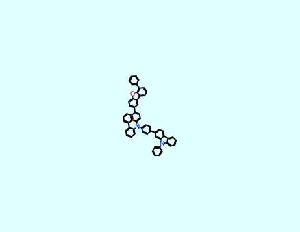 c1ccc(-c2ccccc2N(c2ccc(-c3ccc4oc5c(-c6ccccc6)cccc5c4c3)cc2)c2ccc(-c3ccc4c5ccccc5n(-c5ccccc5)c4c3)cc2)cc1